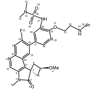 CO[C@H]1C[C@]2(C1)C(=O)N(C)c1cnc3cc(F)c(-c4cnc(OCCNC(C)C)c(NS(=O)(=O)N(C)C)c4)cc3c12